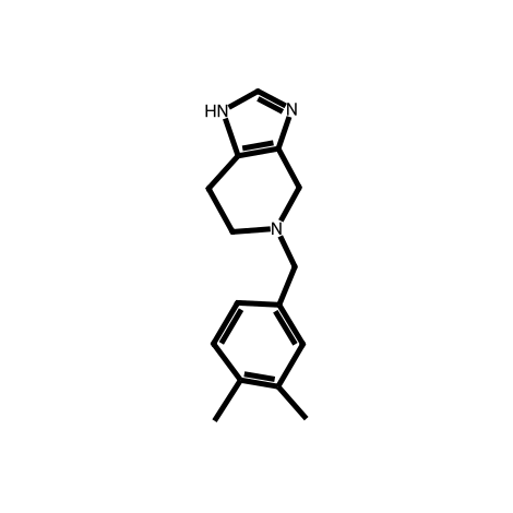 Cc1ccc(CN2CCc3[nH]cnc3C2)cc1C